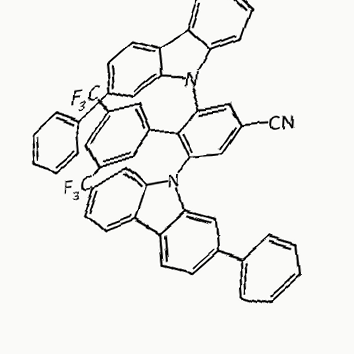 N#Cc1cc(-n2c3ccccc3c3ccc(-c4ccccc4)cc32)c(-c2cc(C(F)(F)F)cc(C(F)(F)F)c2)c(-n2c3ccccc3c3ccc(-c4ccccc4)cc32)c1